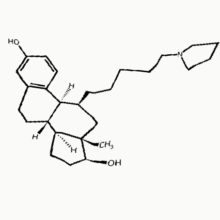 C[C@]12C[C@H](CCCCCN3CCCC3)[C@@H]3c4ccc(O)cc4CC[C@H]3[C@@H]1CC[C@@H]2O